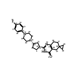 O=c1[nH]c([C@H]2CC[C@H](N3CCN(c4ccc(F)cc4)CC3)C2)nc2c1CC1(CC2)CC1